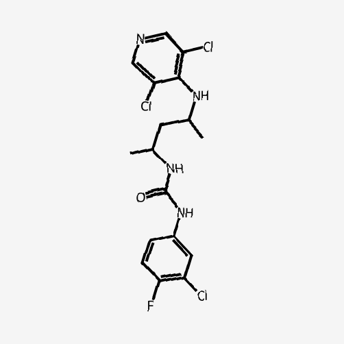 CC(CC(C)Nc1c(Cl)cncc1Cl)NC(=O)Nc1ccc(F)c(Cl)c1